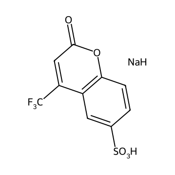 O=c1cc(C(F)(F)F)c2cc(S(=O)(=O)O)ccc2o1.[NaH]